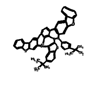 CC(C)(C)c1ccc(N2B3c4oc5ccc(C(C)(C)C)cc5c4-n4c5cc6sc7ccccc7c6cc5c5ccc(c3c54)-c3cc4c(cc32)oc2ccccc24)cc1